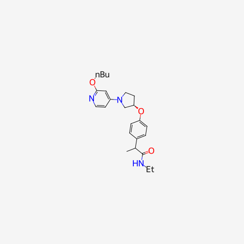 CCCCOc1cc(N2CC[C@@H](Oc3ccc(C(C)C(=O)NCC)cc3)C2)ccn1